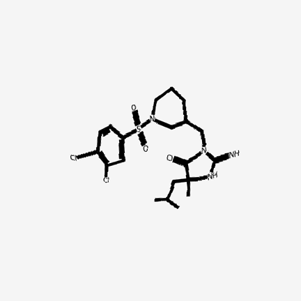 CC(C)CC1(C)NC(=N)N(CC2CCCN(S(=O)(=O)c3ccc(Cl)c(Cl)c3)C2)C1=O